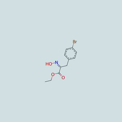 CCOC(=O)C(Cc1ccc(Br)cc1)=NO